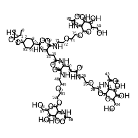 CCP(=O)(S)OC1CCC(C(=O)NC(CCC(=O)NC(CCC(=O)NCCOCCOC2OC(CO)C(O)C(O)C2NC(C)=O)C(=O)NCCOCCOC2OC(CO)C(O)C(O)C2NC(C)=O)C(=O)NCCOCCOC2OC(CO)C(O)C(O)C2NC(C)=O)CC1